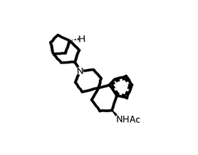 CC(=O)N[C@H]1CCC2(CCN(C3CC4CC[C@H](C4)C3)CC2)c2ccccc21